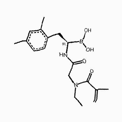 C=C(C)C(=O)N(CC)CC(=O)N[C@@H](Cc1ccc(C)cc1C)B(O)O